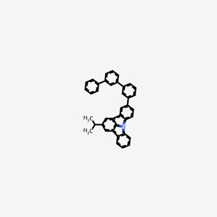 CC(C)c1cc2c3ccccc3n3c4ccc(-c5cccc(-c6cccc(-c7ccccc7)c6)c5)cc4c(c1)c23